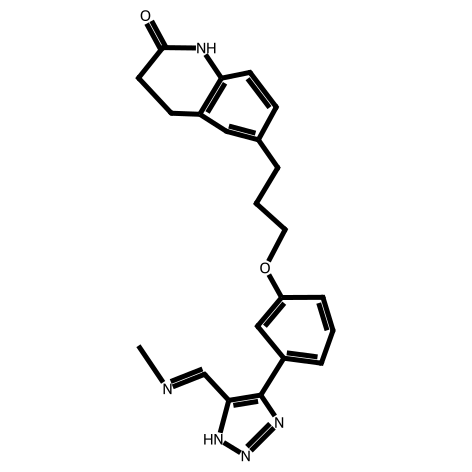 C/N=C/c1[nH]nnc1-c1cccc(OCCCc2ccc3c(c2)CCC(=O)N3)c1